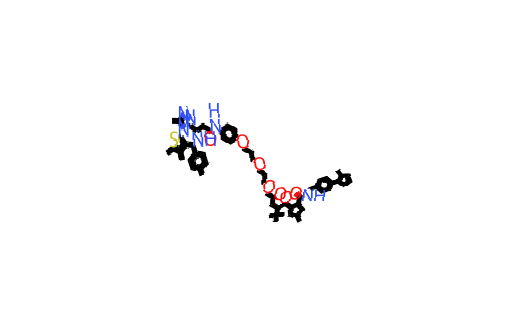 CC1=C(c2ccc(CNC(=O)C3CC(C)CC3C(=O)C(CC(=O)COCCCOCCCOc3ccc(NC(=O)CC4NC(c5ccc(C)cc5)c5c(sc(C)c5C)-n5c(C)nnc54)cc3)C(C)(C)C)cc2)CC=C1